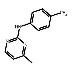 Cc1ccnc(Nc2ccc(C(F)(F)F)cc2)n1